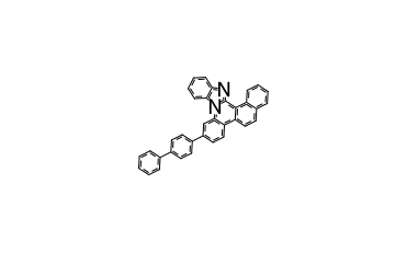 c1ccc(-c2ccc(-c3ccc4c5ccc6ccccc6c5c5nc6ccccc6n5c4c3)cc2)cc1